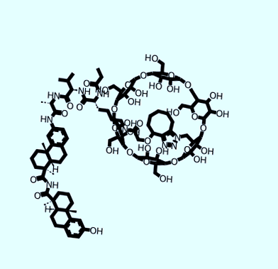 CCC(=O)N[C@H](CCCCNC(=O)COC1CCCCCc2c1nnn2CC1OC2OC3C(CO)OC(OC4C(CO)OC(OC5C(CO)CC(OC6C(CO)OC(OC7C(CO)OC(OC1C(O)C2O)C(O)C7O)C(O)C6O)C(O)C5O)C(O)C4O)C(O)C3O)C(=O)N[C@H](C(=O)N[C@@H](C)C(=O)Nc1ccc2c(c1)[C@@]1(C)CCC[C@](C)(C(=O)NC(=O)[C@@]3(C)CCC[C@]4(C)c5cc(O)ccc5CC[C@@H]34)[C@@H]1CC2)C(C)C